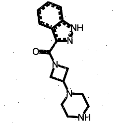 O=C(c1n[nH]c2ccccc12)N1CC(N2CCNCC2)C1